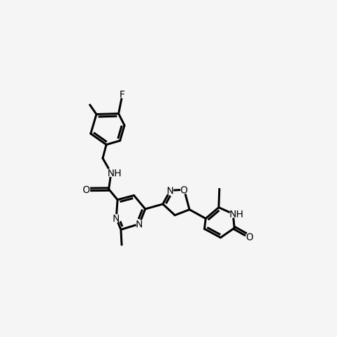 Cc1nc(C(=O)NCc2ccc(F)c(C)c2)cc(C2=NOC(c3ccc(=O)[nH]c3C)C2)n1